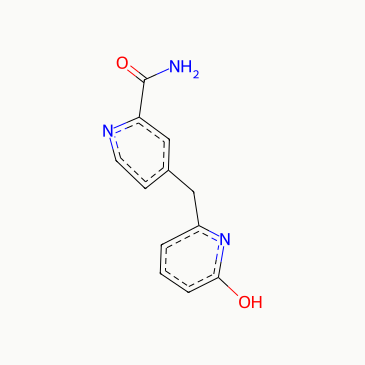 NC(=O)c1cc(Cc2cccc(O)n2)ccn1